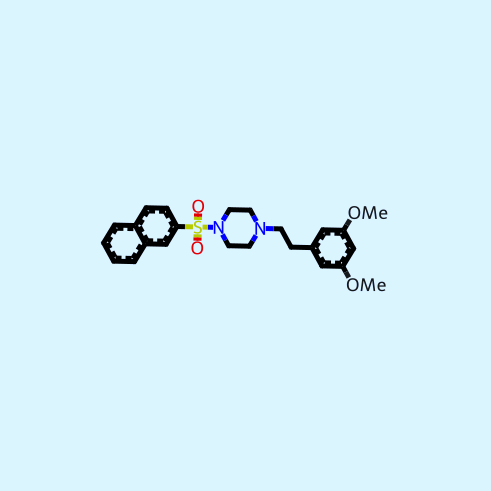 COc1cc(CCN2CCN(S(=O)(=O)c3ccc4ccccc4c3)CC2)cc(OC)c1